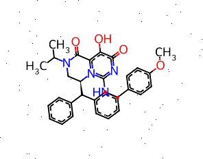 COc1ccc(CNc2nc(=O)c(O)c3n2[C@@H](C(c2ccccc2)c2ccccc2)CN(C(C)C)C3=O)cc1